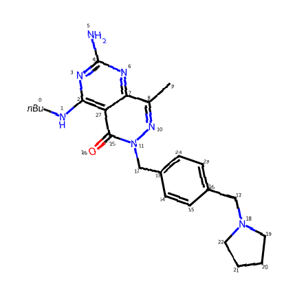 CCCCNc1nc(N)nc2c(C)nn(Cc3ccc(CN4CCCC4)cc3)c(=O)c12